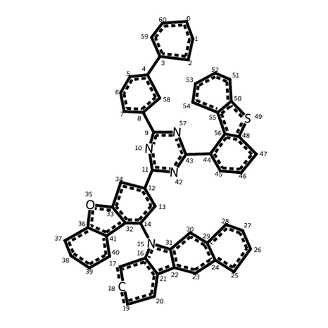 c1ccc(-c2cccc(-c3nc(-c4cc(-n5c6ccccc6c6cc7ccccc7cc65)c5c(c4)oc4ccccc45)nc(-c4cccc5sc6ccccc6c45)n3)c2)cc1